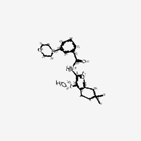 CC1(C)CCc2c(sc(NC(=O)c3cccc(N4CCOCC4)c3)c2C(=O)O)C1